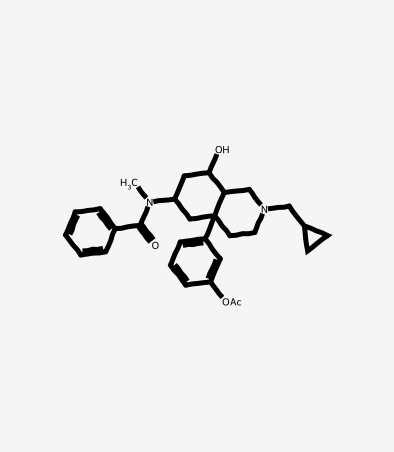 CC(=O)Oc1cccc(C23CCN(CC4CC4)CC2C(O)CC(N(C)C(=O)c2ccccc2)C3)c1